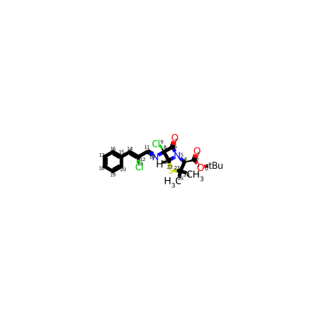 CC(C)(C)OC(=O)[C@@H]1N2C(=O)[C@@](Cl)(N=CC(Cl)=Cc3ccccc3)[C@H]2SC1(C)C